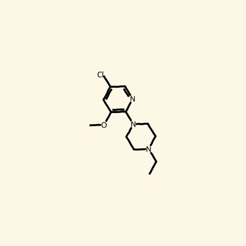 CCN1CCN(c2ncc(Cl)cc2OC)CC1